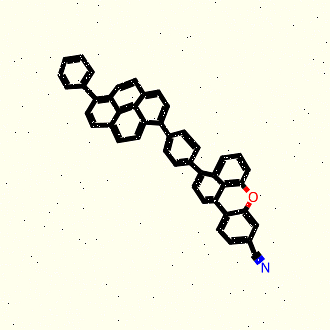 N#Cc1ccc2c(c1)Oc1cccc3c(-c4ccc(-c5ccc6ccc7c(-c8ccccc8)ccc8ccc5c6c87)cc4)ccc-2c13